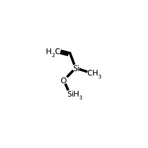 C=C[Si](C)O[SiH3]